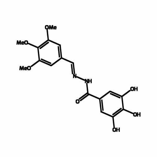 COc1cc(C=NNC(=O)c2cc(O)c(O)c(O)c2)cc(OC)c1OC